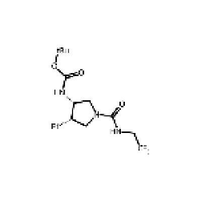 CC[C@H]1CN(C(=O)NCC(F)(F)F)C[C@H]1NC(=O)OC(C)(C)C